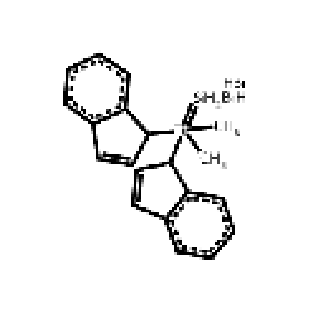 Br.Br.[CH3][Ti]([CH3])(=[SiH2])([CH]1C=Cc2ccccc21)[CH]1C=Cc2ccccc21